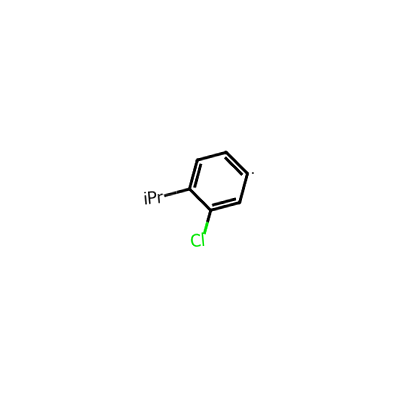 CC(C)c1cc[c]cc1Cl